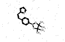 CC1(C)OB(c2ccc(/C=C\c3cccs3)cc2)OC1(C)C